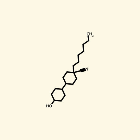 CCCCCCCC1(C#N)CCC(C2CCC(O)CC2)CC1